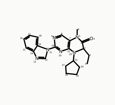 CCC1C(=O)N(C)c2cnc(-n3cnc4ccccc43)nc2N1C1CCCC1